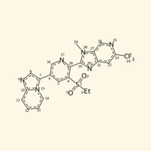 CCS(=O)(=O)c1cc(-c2cnc3ccccn23)cnc1-c1nc2cc(C(F)(F)F)ncc2n1C